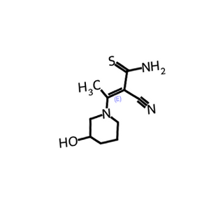 C/C(=C(/C#N)C(N)=S)N1CCCC(O)C1